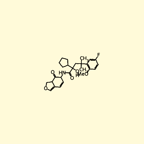 COc1ccc(F)cc1C(C)(C)CC(O)(C(=O)NC1C=CC2=COCC2C1=O)C1CCCC1